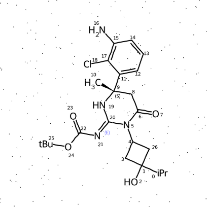 CC(C)C1(O)CC(N2C(=O)C[C@@](C)(c3cccc(N)c3Cl)N/C2=N\C(=O)OC(C)(C)C)C1